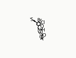 CC(C)(C)OC(=O)N1CCN2Cc3cc(C#CS(C)(C)C)c(Br)c(Cl)c3OC[C@H]2C1